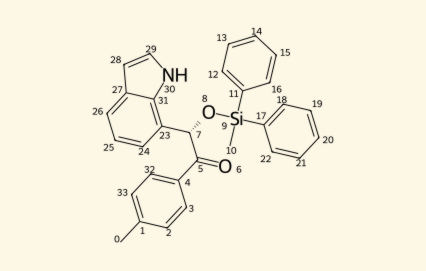 Cc1ccc(C(=O)[C@@H](O[Si](C)(c2ccccc2)c2ccccc2)c2cccc3cc[nH]c23)cc1